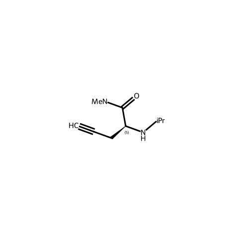 C#CC[C@H](NC(C)C)C(=O)NC